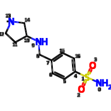 NS(=O)(=O)c1ccc(CNC2CC[N]C2)cc1